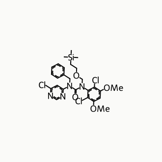 COc1cc(OC)c(Cl)c(N(COCC[Si](C)(C)C)C(=O)N(Cc2ccccc2)c2cc(Cl)ncn2)c1Cl